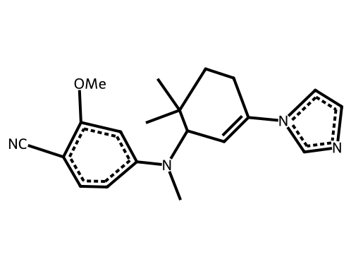 COc1cc(N(C)C2C=C(n3ccnc3)CCC2(C)C)ccc1C#N